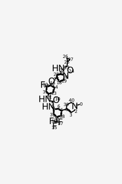 CN1CC=C(c2cc(NC(=O)Nc3ccc(Oc4ccnc(NC(=O)C5CC5)c4)c(F)c3)cc(C(F)(F)F)c2)CC1